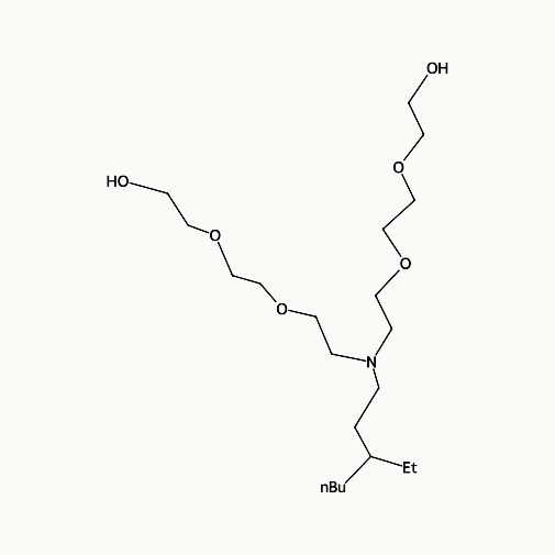 CCCCC(CC)CCN(CCOCCOCCO)CCOCCOCCO